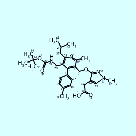 Cc1ccc(-c2c(COc3nn(C)cc3CC(=O)O)c(C)nc(CC(C)C)c2CNC(=O)OC(C)(C)C)cc1